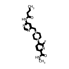 CCCC(=O)Nc1cc(CN2CCN(c3ccc(C(=O)NC)nc3F)CC2)ncn1